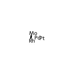 [Mo][Rh].[Pd].[Pt]